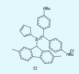 CCCCc1ccc([C](c2ccc(CCCC)cc2)=[Zr+2]([C]2=CC=CC2)[CH]2c3cc(C)ccc3-c3ccc(C)cc32)cc1.[Cl-].[Cl-]